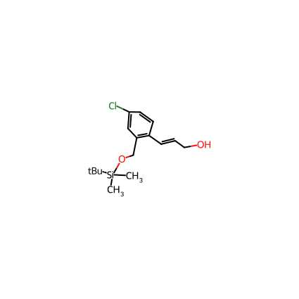 CC(C)(C)[Si](C)(C)OCc1cc(Cl)ccc1C=CCO